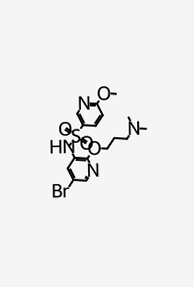 COc1ccc(S(=O)(=O)Nc2cc(Br)cnc2OCCCN(C)C)cn1